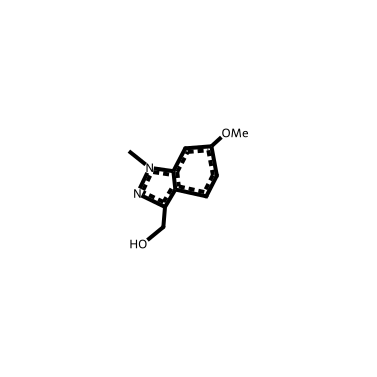 COc1ccc2c(CO)nn(C)c2c1